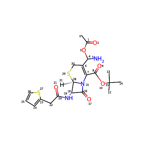 CC(=O)OC(N)C1=C(C(=O)OC(C)(C)C)N2C(=O)[C@H](NC(=O)Cc3cccs3)[C@H]2SC1